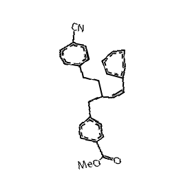 COC(=O)c1ccc(CC(/C=C\c2ccccc2)CCc2ccc(C#N)cc2)cc1